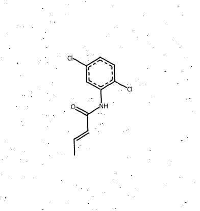 CC=CC(=O)Nc1cc(Cl)ccc1Cl